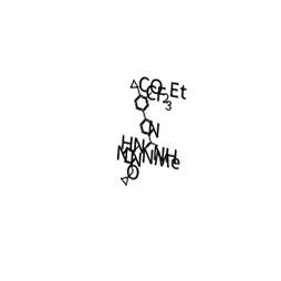 CCOC(=O)C1(c2ccc(-c3ccc(/C(C=N)=C(/NC)Nc4cncc(OC5CC5)n4)nc3)cc2C(F)(F)F)CC1